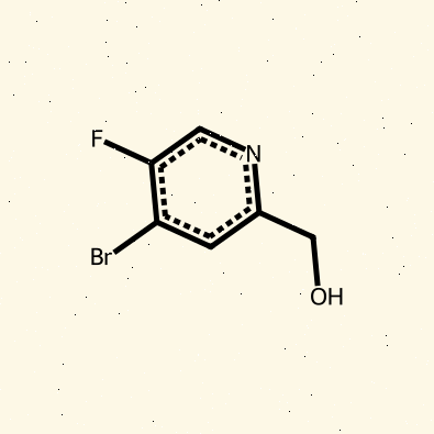 OCc1cc(Br)c(F)cn1